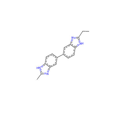 CCc1nc2cc(-c3ccc4[nH]c(C)nc4c3)ccc2[nH]1